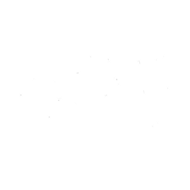 COC(=O)c1c(C)cc2ccc(Cc3ccccc3)cn12